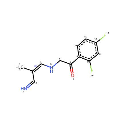 C/C(C=N)=C/NCC(=O)c1ccc(F)cc1F